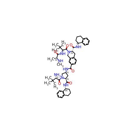 CN[C@@H](C)C(=O)N[C@H](C(=O)N1Cc2cc(C(=O)N[C@H]3C[C@@H](C(=O)N[C@@H]4CCCc5ccccc54)N(C(=O)[C@@H](N)C(C)(C)C)C3)ccc2C[C@H]1C(=O)N[C@@H]1CCCc2ccccc21)C(C)(C)C